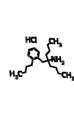 CCCCc1ccccc1CC(N)(CCCC)CCCC.Cl